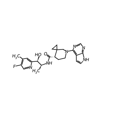 Cc1cc([C@@H](O)[C@H](C)NC(=O)[C@H]2CCN(c3ncnc4[nH]ccc34)CC23CC3)ncc1F